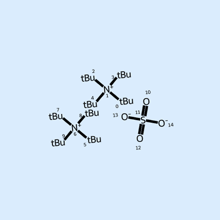 CC(C)(C)[N+](C(C)(C)C)(C(C)(C)C)C(C)(C)C.CC(C)(C)[N+](C(C)(C)C)(C(C)(C)C)C(C)(C)C.O=S(=O)([O-])[O-]